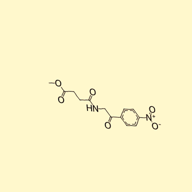 COC(=O)CCC(=O)NCC(=O)c1ccc([N+](=O)[O-])cc1